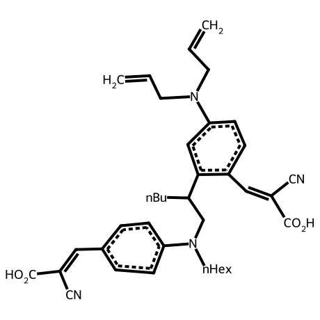 C=CCN(CC=C)c1ccc(/C=C(\C#N)C(=O)O)c(C(CCCC)CN(CCCCCC)c2ccc(/C=C(\C#N)C(=O)O)cc2)c1